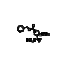 CO[C@@H]1CN(C(=O)OCc2ccccc2)CC1C1(C(=O)O)CC1